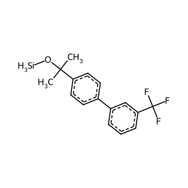 CC(C)(O[SiH3])c1ccc(-c2cccc(C(F)(F)F)c2)cc1